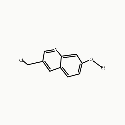 CCOc1ccc2cc(CCl)cnc2c1